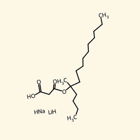 CCCCCCCCCCC(C)(CCCC)OC(=O)CC(=O)O.[LiH].[NaH]